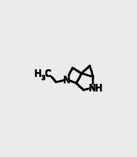 CCN1CC23CC2NCC13